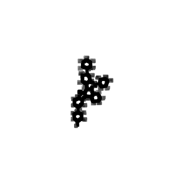 Cc1ccc(-c2ccc3sc4c(c3c2)c2ccccc2c2c4c3ccc(-c4ccccc4)cc3n2-c2ccccc2)cc1